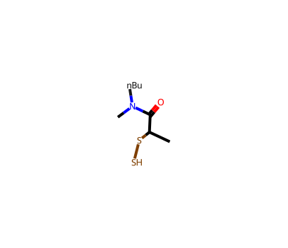 CCCCN(C)C(=O)C(C)SS